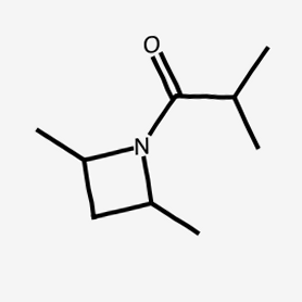 CC(C)C(=O)N1C(C)CC1C